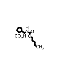 C=CCCCOC(=O)NC(C(=O)O)C1CCCC1